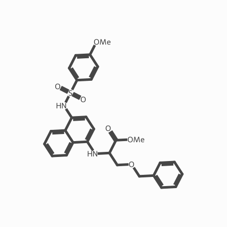 COC(=O)C(COCc1ccccc1)Nc1ccc(NS(=O)(=O)c2ccc(OC)cc2)c2ccccc12